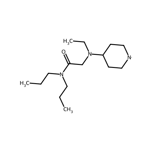 CCCN(CCC)C(=O)CN(CC)C1CC[N]CC1